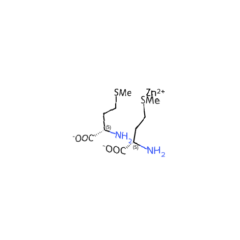 CSCC[C@H](N)C(=O)[O-].CSCC[C@H](N)C(=O)[O-].[Zn+2]